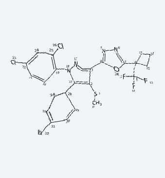 CSc1c(-c2nnc(C3(C(F)(F)F)CCC3)o2)nn(-c2ccc(Cl)cc2Cl)c1C1C=CC(Br)=CC1